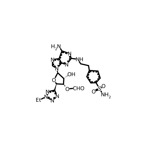 CCn1nnc([C@H]2O[C@@H](n3cnc4c(N)nc(NCCc5ccc(S(N)(=O)=O)cc5)nc43)[C@H](O)[C@@H]2OC=O)n1